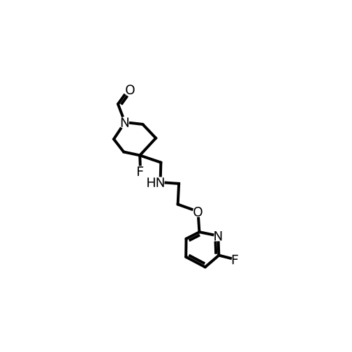 O=CN1CCC(F)(CNCCOc2cccc(F)n2)CC1